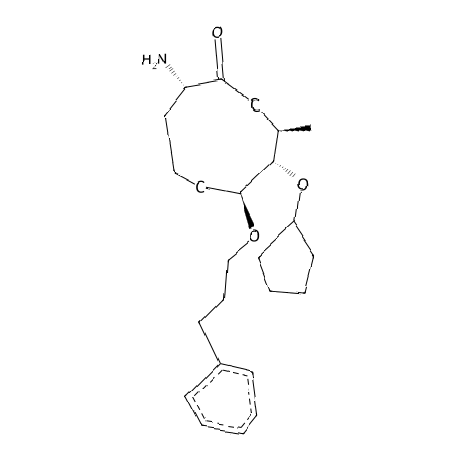 C[C@@H]1CC(=O)[C@@H](N)CCC[C@H](OCCCc2ccccc2)[C@H]1OC1CCCC1